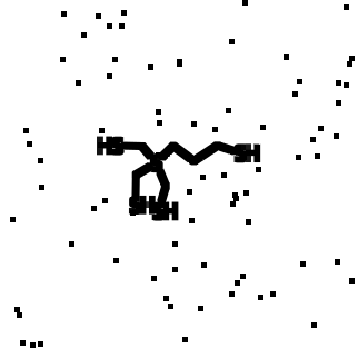 SCCCS(CS)(CS)CS